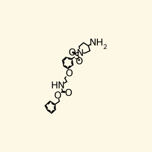 NC1CCN(S(=O)(=O)c2cccc(OCCNC(=O)OCc3ccccc3)c2)CC1